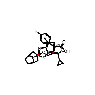 Cc1cc(C(=O)O)cc2sc(N3C4CCC3CC(OCc3c(-c5ccc(F)cc5)noc3C3CC3)C4)nc12